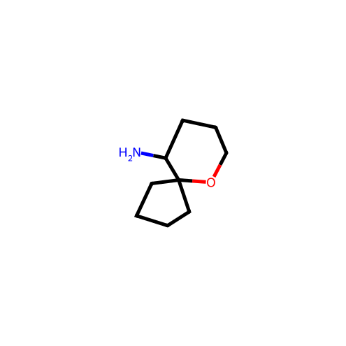 NC1CCCOC12CCCC2